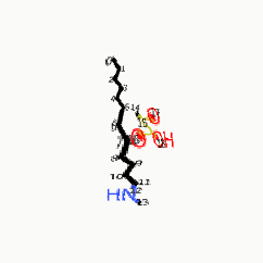 CCCCCCCCCCCCNC.CS(=O)(=O)O